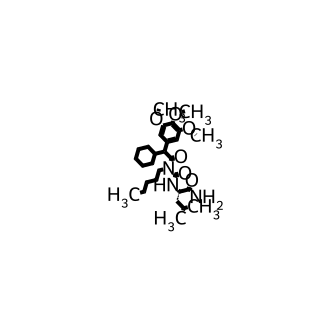 CCCCCN(C(=O)N[C@@H](CC(C)C)C(N)=O)C(=O)C(c1cc(OC)c(OC)c(OC)c1)C1CCCCC1